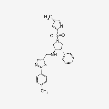 Cc1ccc(-c2ncc(CN[C@H]3CN(S(=O)(=O)c4cn(C)cn4)C[C@@H]3c3ccccc3)s2)cc1